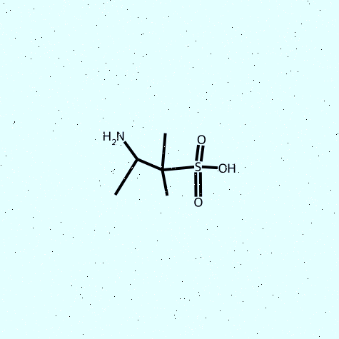 CC(N)C(C)(C)S(=O)(=O)O